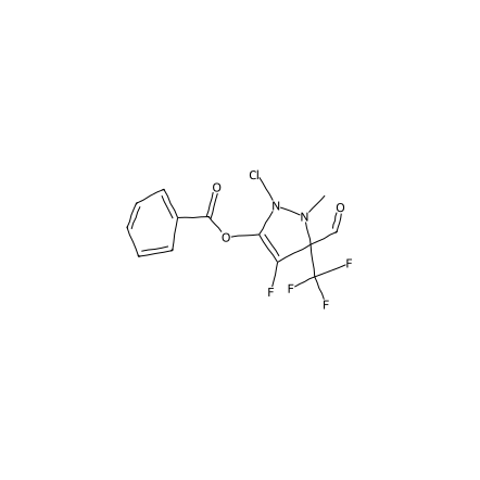 CN1N(Cl)C(OC(=O)c2ccccc2)=C(F)C1(C=O)C(F)(F)F